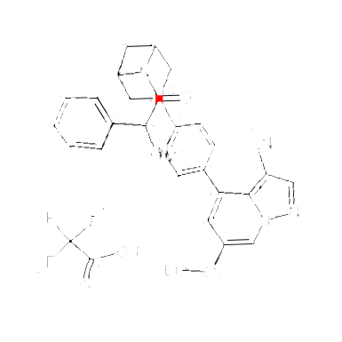 CCOc1cc(-c2ccc(N3CC4CC(C3)N4C(=O)C(OC)c3ccccc3)nc2)c2c(C#N)cnn2c1.O=C(O)C(F)(F)F